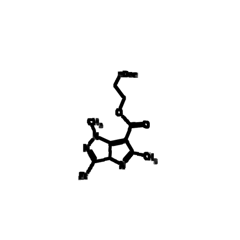 CCCCCCCCCCCCOC(=O)C1=C2C(N=C1C)C(CC)=NN2C